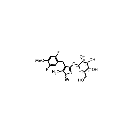 COc1cc(F)c(Cc2c(O[C@@H]3O[C@H](CO)[C@@H](O)[C@H](O)[C@H]3O)nn(C(C)C)c2C)cc1F